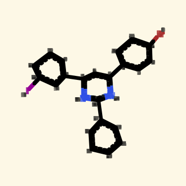 Brc1ccc(-c2cc(-c3cccc(I)c3)nc(-c3ccccc3)n2)cc1